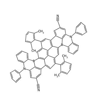 Cc1cccc(C)c1-c1cc2c3c(cc4c(-c5c(C)cccc5C)cc5c6c(cc1c3c46)B1c3ccccc3N(c3ccccc3)c3cc(C#N)cc-5c31)B1c3ccccc3N(c3ccccc3)c3cc(C#N)cc-2c31